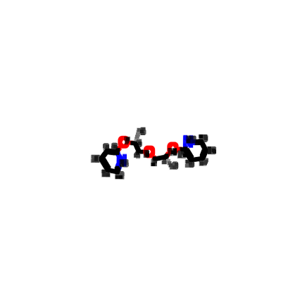 C[C@H](COC[C@@H](C)Oc1ccccn1)Oc1ccccn1